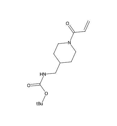 C=CC(=O)N1CCC(CNC(=O)OC(C)(C)C)CC1